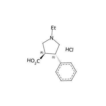 CCN1C[C@H](C(=O)O)[C@@H](c2ccccc2)C1.Cl